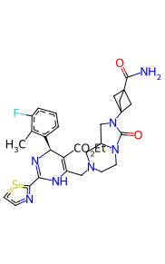 CCOC(=O)C1=C(CN2CCN3C(=O)N(C45CC(C(N)=O)(C4)C5)CC3C2)NC(c2nccs2)=N[C@H]1c1cccc(F)c1C